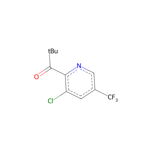 CC(C)(C)C(=O)c1ncc(C(F)(F)F)cc1Cl